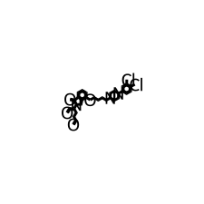 O=CCCC(C=O)N1Cc2c(OCCCCN3CCN(c4ccc(Cl)c(Cl)c4)CC3)cccc2C1=O